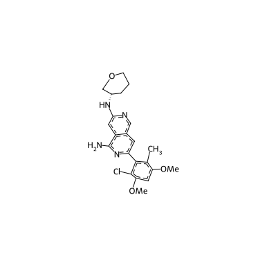 COc1cc(OC)c(Cl)c(-c2cc3cnc(N[C@H]4CCCOC4)cc3c(N)n2)c1C